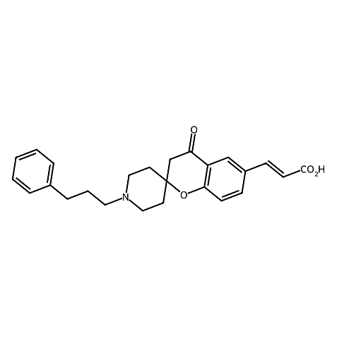 O=C(O)C=Cc1ccc2c(c1)C(=O)CC1(CCN(CCCc3ccccc3)CC1)O2